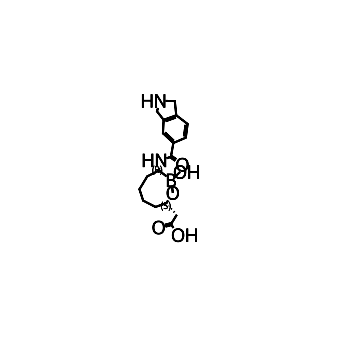 O=C(O)C[C@@H]1CCCC[C@H](NC(=O)c2ccc3c(c2)CNC3)B(O)O1